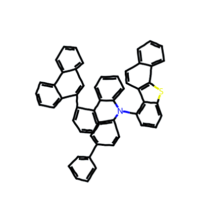 c1ccc(-c2ccc(N(c3ccccc3-c3ccccc3-c3cc4ccccc4c4ccccc34)c3cccc4sc5c6ccccc6ccc5c34)cc2)cc1